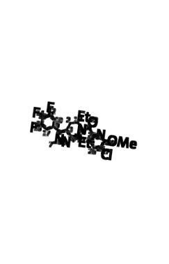 CCC1Cc2c(nn(C)c2-c2cc(F)c(F)c(F)c2)[C@H](CC)N1C(=O)c1ccc(Cl)c(OC)n1